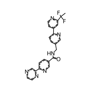 CC(F)(F)c1cc(-c2ccc(CNC(=O)c3ccc(-c4cnccn4)nc3)cn2)ccn1